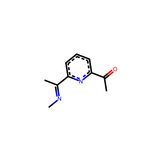 CN=C(C)c1cccc(C(C)=O)n1